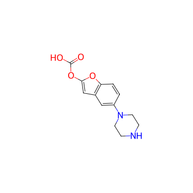 O=C(O)Oc1cc2cc(N3CCNCC3)ccc2o1